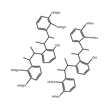 CCCCCCCc1cccc(C(C)C(C)c2cccc(O)c2C(C)C(C)c2cccc(CCCCCCC)c2CCCCCCC)c1CCCCCCC.CCCCCCc1cccc(C(C)C(C)c2cccc(O)c2C(C)C(C)c2cccc(CCCCCC)c2CCCCCC)c1CCCCCC